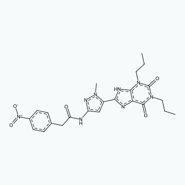 CCCn1c(=O)c2nc(-c3cc(NC(=O)Cc4ccc([N+](=O)[O-])cc4)nn3C)[nH]c2n(CCC)c1=O